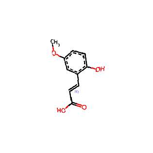 COc1ccc(O)c(/C=C/C(=O)O)c1